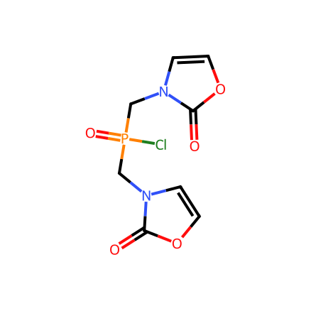 O=c1occn1CP(=O)(Cl)Cn1ccoc1=O